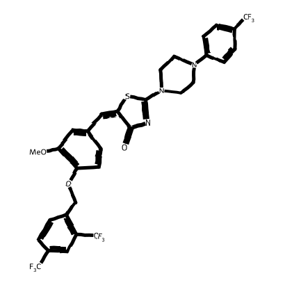 COc1cc(/C=C2/SC(N3CCN(c4ccc(C(F)(F)F)cc4)CC3)=NC2=O)ccc1OCc1ccc(C(F)(F)F)cc1C(F)(F)F